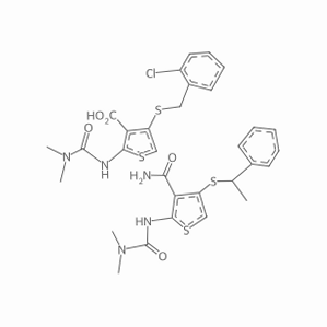 CC(Sc1csc(NC(=O)N(C)C)c1C(N)=O)c1ccccc1.CN(C)C(=O)Nc1scc(SCc2ccccc2Cl)c1C(=O)O